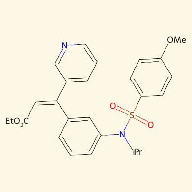 CCOC(=O)/C=C(/c1cccnc1)c1cccc(N(C(C)C)S(=O)(=O)c2ccc(OC)cc2)c1